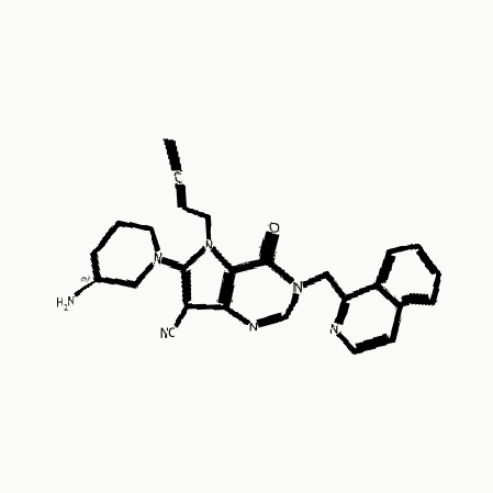 C=C=CCn1c(N2CCC[C@H](N)C2)c(C#N)c2ncn(Cc3nccc4ccccc34)c(=O)c21